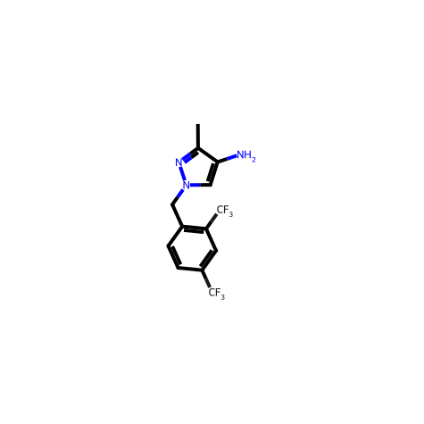 Cc1nn(Cc2ccc(C(F)(F)F)cc2C(F)(F)F)cc1N